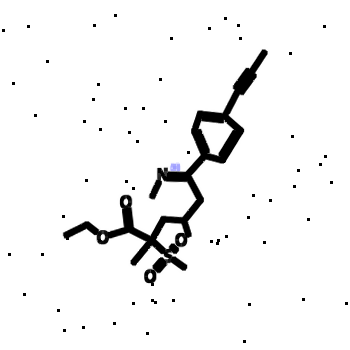 CC#Cc1ccc(/C(CC(C)CC(C)(C(=O)OCC)S(C)(=O)=O)=N/C)cc1